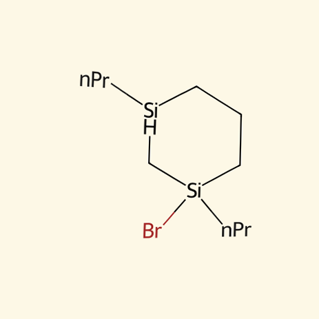 CCC[SiH]1CCC[Si](Br)(CCC)C1